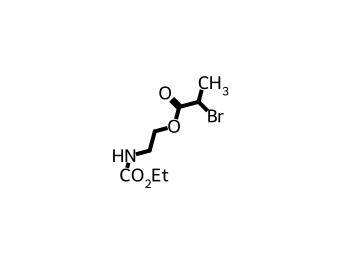 CCOC(=O)NCCOC(=O)C(C)Br